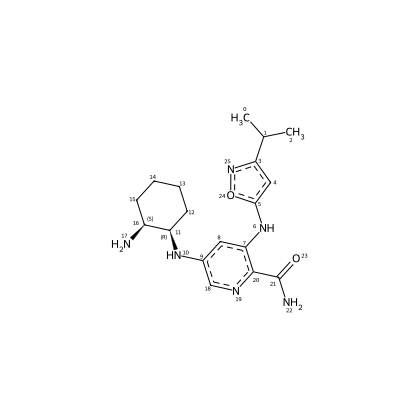 CC(C)c1cc(Nc2cc(N[C@@H]3CCCC[C@@H]3N)cnc2C(N)=O)on1